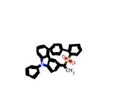 CC(c1ccc2c(c1)c1ccccc1n2-c1ccccc1)S(=O)(=O)c1ccccc1-c1ccccc1